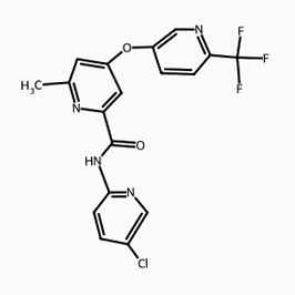 Cc1cc(Oc2ccc(C(F)(F)F)nc2)cc(C(=O)Nc2ccc(Cl)cn2)n1